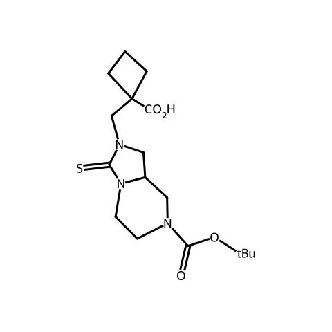 CC(C)(C)OC(=O)N1CCN2C(=S)N(CC3(C(=O)O)CCC3)CC2C1